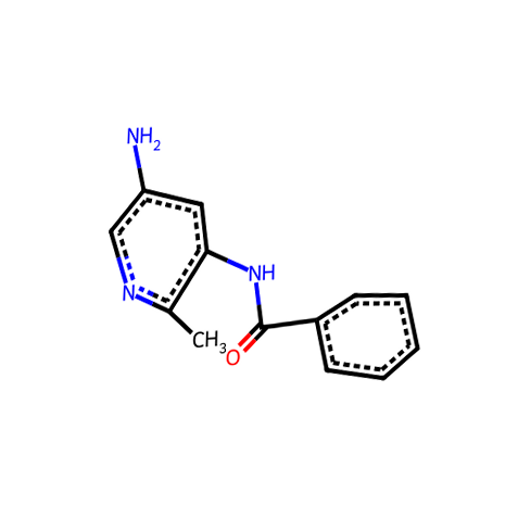 Cc1ncc(N)cc1NC(=O)c1ccccc1